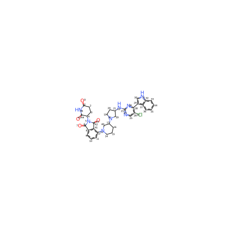 O=C1CCC(N2C(=O)c3cccc(N4CCCC(N5CCC(Nc6ncc(Cl)c(-c7c[nH]c8ccccc78)n6)C5)C4)c3C2=O)C(=O)N1